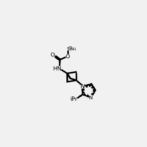 CC(C)c1nccn1C12CC(NC(=O)OC(C)(C)C)(C1)C2